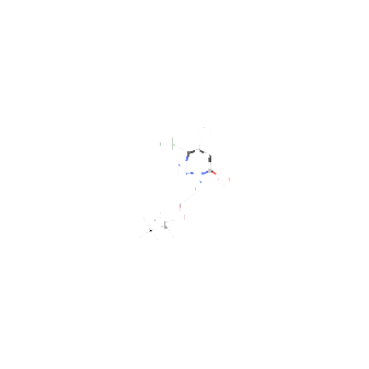 CC(C)(C)[Si](C)(C)OCCn1nc(Cl)c(Cl)cc1=O